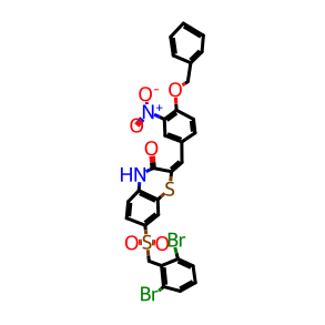 O=C1Nc2ccc(S(=O)(=O)Cc3c(Br)cccc3Br)cc2S/C1=C/c1ccc(OCc2ccccc2)c([N+](=O)[O-])c1